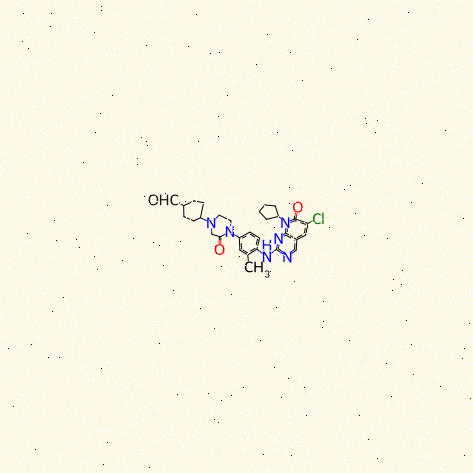 Cc1cc(N2CCN(C3CCC(C=O)CC3)CC2=O)ccc1Nc1ncc2cc(Cl)c(=O)n(C3CCCC3)c2n1